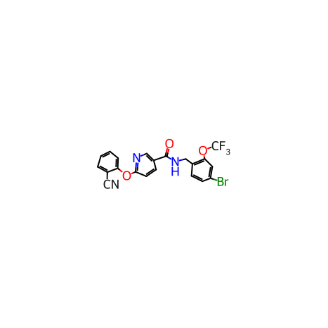 N#Cc1ccccc1Oc1ccc(C(=O)NCc2ccc(Br)cc2OC(F)(F)F)cn1